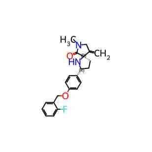 C=C1CN(C)C(=O)[C@@]12CC[C@H](c1ccc(OCc3ccccc3F)cc1)N2